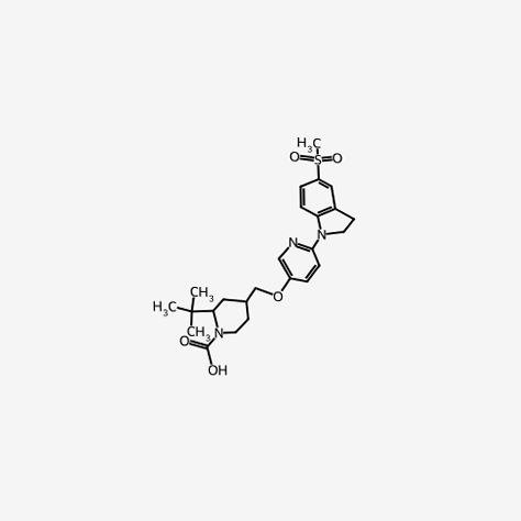 CC(C)(C)C1CC(COc2ccc(N3CCc4cc(S(C)(=O)=O)ccc43)nc2)CCN1C(=O)O